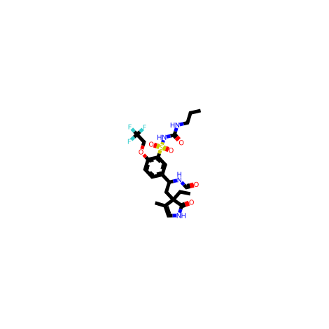 CCCNC(=O)NS(=O)(=O)c1cc(C(CC2(CC)C(=O)NC=C2C)NC=O)ccc1OCC(F)(F)F